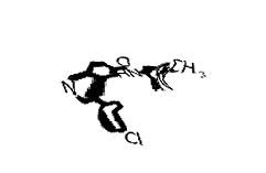 Cn1cc(NC(=O)c2ccc3cncc(-c4ccc(Cl)cc4)c3c2)cn1